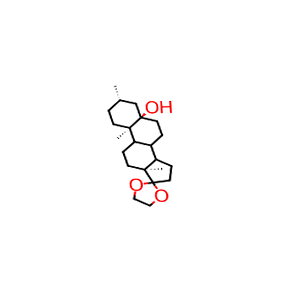 C[C@H]1CC[C@]2(C)C3CC[C@@]4(C)C(CCC45OCCO5)C3CC[C@@]2(O)C1